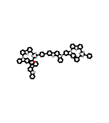 c1ccc(-c2nc(-c3ccc(-c4ccc5c(c4)oc4c5ccc5c4c4ccccc4n5-c4ccc5c(c4)c4ccccc4n5-c4cccc5c4sc4c(-c6nc(-c7ccccc7)nc(-c7ccccc7)n6)cccc45)cc3)nc(-c3cccc4c3oc3c(-n5c6ccccc6c6cc(-n7c8ccccc8c8c9oc%10ccccc%10c9ccc87)ccc65)cccc34)n2)cc1